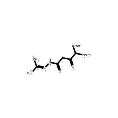 CCCCCC(CCCCC)C(=O)CC(=O)NN=C(C)C